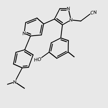 Cc1cc(O)cc(-c2c(-c3ccnc(-c4ccc(N(C)C)cc4)c3)cnn2CC#N)c1